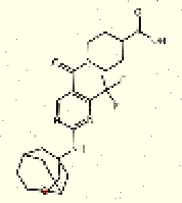 O=C(O)C1CCN(C(=O)c2cnc(NC34CCC5CC(CC(C5)C3)C4)nc2C(F)(F)F)CC1